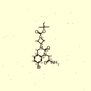 CC(C)(C)OC(=O)N1CC(N2Cc3ccc(Br)cc3N(CC(N)=O)C2=O)C1